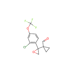 O=CC1(C2(c3ccc(OC(F)(F)F)cc3Cl)CO2)CC1